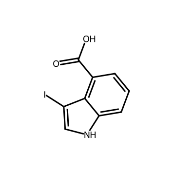 O=C(O)c1cccc2[nH]cc(I)c12